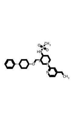 CCc1ccnc(N2CCC(NS(C)(=O)=O)[C@H](CO[C@H]3CC[C@@H](c4ccccc4)CC3)C2)c1